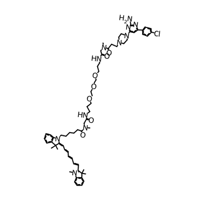 CN(CC(=O)NCCCOCCOCCOCCCNC(=O)CN(C)C(=O)CCN1CCN(c2cc(-c3ccc(Cl)cc3)nc(N)n2)CC1)C(=O)CCCCCN1/C(=C/C=C/C=C/C=C/C2=[N+](C)c3ccccc3C2(C)C)C(C)(C)c2ccccc21